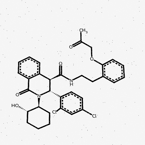 CC(=O)COc1ccccc1CCNC(=O)[C@@H]1c2ccccc2C(=O)N([C@H]2CCCC[C@@H]2O)[C@H]1c1ccc(Cl)cc1Cl